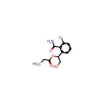 NC(=O)c1c(Cl)cccc1C(CO)OC(=O)CC(=O)O